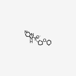 [O-][S+](Cc1cccc(Oc2ccccc2)c1)c1nc2cnccc2[nH]1